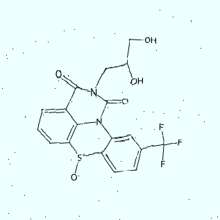 O=c1c2cccc3c2n(c(=O)n1CC(O)CO)-c1cc(C(F)(F)F)ccc1[S+]3[O-]